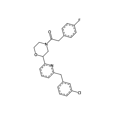 O=C(Cc1ccc(F)cc1)N1CCOC(c2cccc(Cc3cccc(Cl)c3)n2)C1